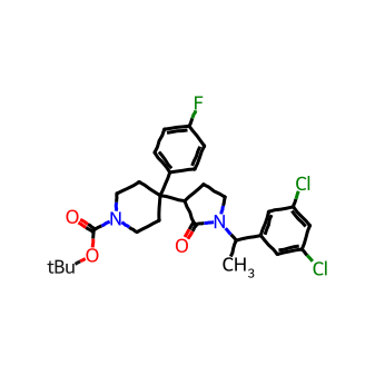 CC(c1cc(Cl)cc(Cl)c1)N1CCC(C2(c3ccc(F)cc3)CCN(C(=O)OC(C)(C)C)CC2)C1=O